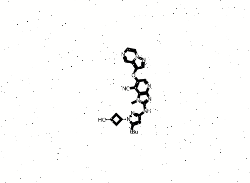 Cn1c(Nc2cc(C(C)(C)C)n([C@H]3C[C@@H](O)C3)n2)nc2ncc(Oc3cnn4ccncc34)c(C#N)c21